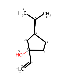 C=C[C@]1(O)CC[C@H](C(C)C)C1